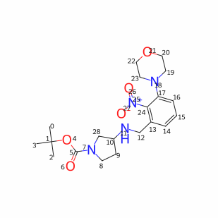 CC(C)(C)OC(=O)N1CCC(NCc2cccc(N3CCOCC3)c2[N+](=O)[O-])C1